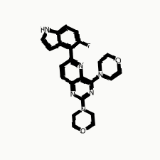 Fc1ccc2[nH]ccc2c1-c1ccc2nc(N3CCOCC3)nc(N3CCOCC3)c2n1